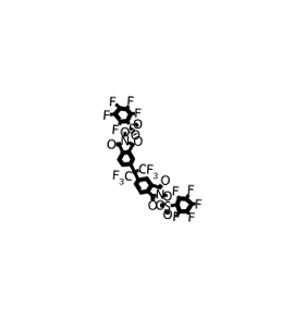 O=C1c2ccc(C(c3ccc4c(c3)C(=O)N(OS(=O)(=O)c3c(F)c(F)c(F)c(F)c3F)C4=O)(C(F)(F)F)C(F)(F)F)cc2C(=O)N1OS(=O)(=O)c1c(F)c(F)c(F)c(F)c1F